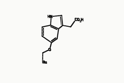 CCC(C)COc1ccc2[nH]cc(CC(=O)O)c2c1